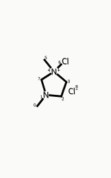 CN1CC[N+](C)(Cl)C1.[Cl-]